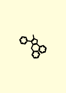 CC1=C(c2ccccc2)C(Cc2ccccc2)=C(c2ccccc2)C1